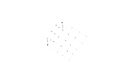 CC12C3(C)C4(C)C56C7C8CC9C%10C%11CC%12C%13C15C21C%132C%11%12C%105C98C78C46C31C528